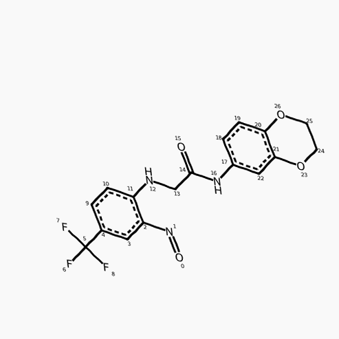 O=Nc1cc(C(F)(F)F)ccc1NCC(=O)Nc1ccc2c(c1)OCCO2